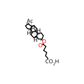 CC(=O)[C@H]1CC[C@H]2[C@@H]3CC[C@@H]4C[C@H](OC(=O)CCCCCC(=O)O)CC[C@]4(C)[C@H]3CC[C@]12C